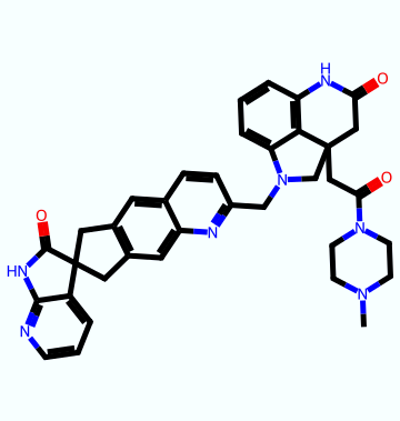 CN1CCN(C(=O)CC23CC(=O)Nc4cccc(c42)N(Cc2ccc4cc5c(cc4n2)CC2(C5)C(=O)Nc4ncccc42)C3)CC1